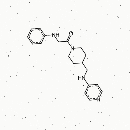 O=C(CNc1ccccc1)N1CCC(CNc2ccncc2)CC1